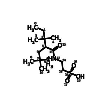 CCC(C)(C)C(CC(C)(C)C)C(=O)NCCS(=O)(=O)O